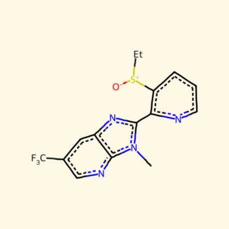 CC[S+]([O-])c1cccnc1-c1nc2cc(C(F)(F)F)cnc2n1C